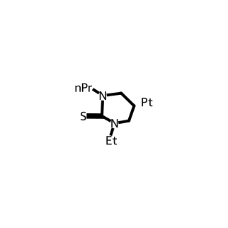 CCCN1CCCN(CC)C1=S.[Pt]